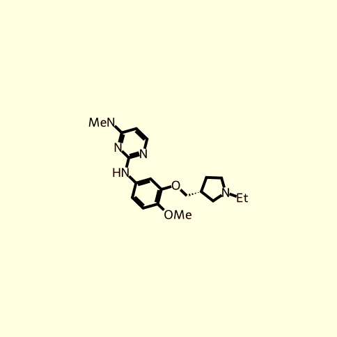 CCN1CC[C@@H](COc2cc(Nc3nccc(NC)n3)ccc2OC)C1